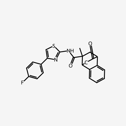 CC1(C(=O)Nc2nc(-c3ccc(F)cc3)cs2)CC2C(=O)CC1c1ccccc12